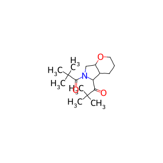 CC(C)(C)C(=O)C1C2CCCOC2CN1C(=O)C(C)(C)C